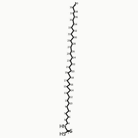 S=C(S)NCCCCCCCCCCCCCCCCCCCCCCCCCCCCCCCCCCCCI